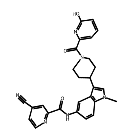 Cn1cc(C2CCN(C(=O)c3cccc(O)n3)CC2)c2cc(NC(=O)c3cc(C#N)ccn3)ccc21